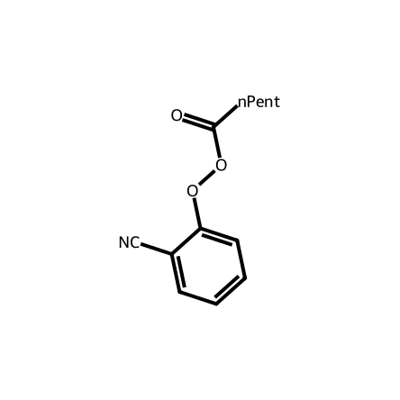 CCCCCC(=O)OOc1ccccc1C#N